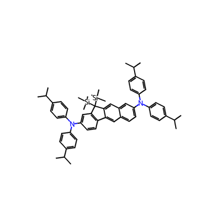 CC(C)c1ccc(N(c2ccc(C(C)C)cc2)c2ccc3c(c2)C([Si](C)(C)C)([Si](C)(C)C)c2cc4cc(N(c5ccc(C(C)C)cc5)c5ccc(C(C)C)cc5)ccc4cc2-3)cc1